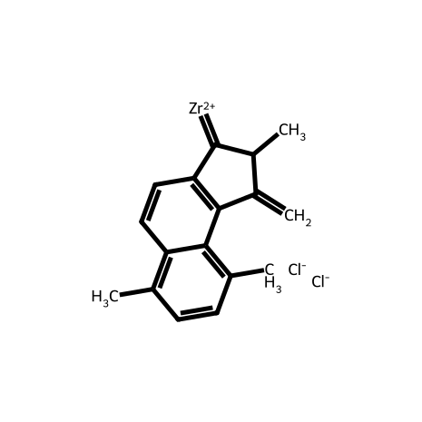 C=C1c2c(ccc3c(C)ccc(C)c23)[C](=[Zr+2])C1C.[Cl-].[Cl-]